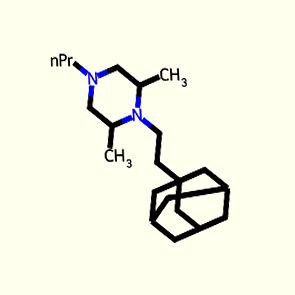 CCCN1CC(C)N(CCC23CC4CC(CC(C4)C2)C3)C(C)C1